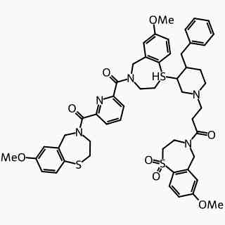 COc1ccc2c(c1)CN(C(=O)c1cccc(C(=O)N3CC[SH](C4CN(CCC(=O)N5CCS(=O)(=O)c6ccc(OC)cc6C5)CCC4Cc4ccccc4)c4ccc(OC)cc4C3)n1)CCS2